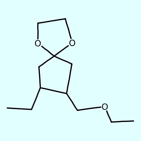 CCOCC1CC2(CC1CC)OCCO2